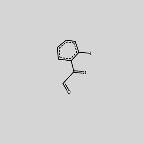 O=CC(=O)c1ccccc1I